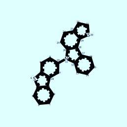 c1ccc2c(c1)sc1ccc(-n3c4ccccc4c4c5sccc5ccc43)cc12